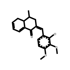 COc1ccc(C=C2CC(C)C3CC=CC=C3C2=O)c(Cl)c1OC